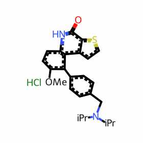 COc1ccc2[nH]c(=O)c3sccc3c2c1-c1ccc(CN(C(C)C)C(C)C)cc1.Cl